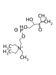 C=C(C)C(=O)C(O)CO[PH](=O)OCC[N+](CC)(CC)CC